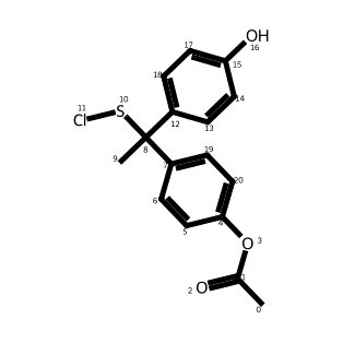 CC(=O)Oc1ccc(C(C)(SCl)c2ccc(O)cc2)cc1